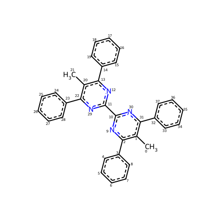 Cc1c(-c2ccccc2)nc(-c2nc(-c3ccccc3)c(C)c(-c3ccccc3)n2)nc1-c1ccccc1